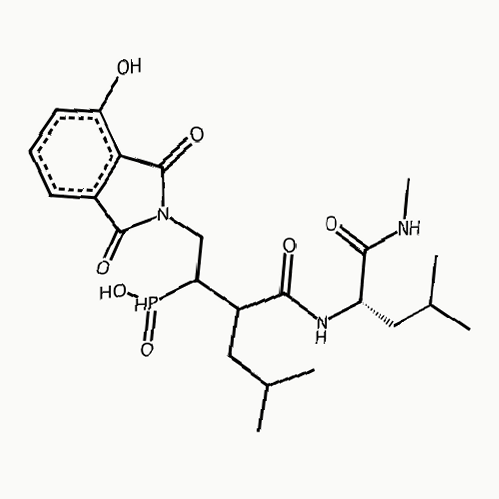 CNC(=O)[C@H](CC(C)C)NC(=O)C(CC(C)C)C(CN1C(=O)c2cccc(O)c2C1=O)[PH](=O)O